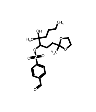 CCCCC(C)(O)C(CCC1(C)OCCO1)OS(=O)(=O)c1ccc(C=O)cc1